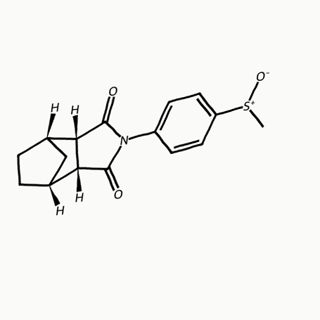 C[S+]([O-])c1ccc(N2C(=O)[C@@H]3[C@@H]4CC[C@@H](C4)[C@@H]3C2=O)cc1